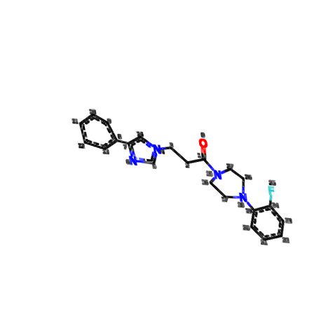 O=C(CCn1cnc(-c2ccccc2)c1)N1CCN(c2ccccc2F)CC1